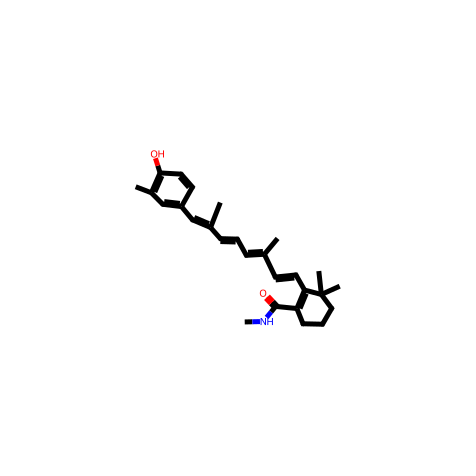 CNC(=O)C1=C(/C=C/C(C)=C/C=C/C(C)=C/c2ccc(O)c(C)c2)C(C)(C)CCC1